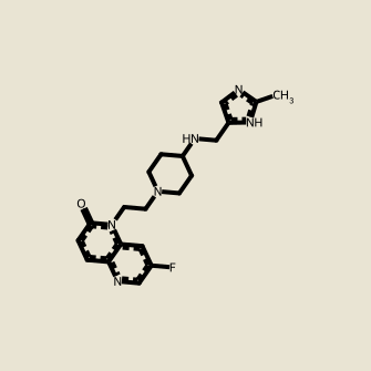 Cc1ncc(CNC2CCN(CCn3c(=O)ccc4ncc(F)cc43)CC2)[nH]1